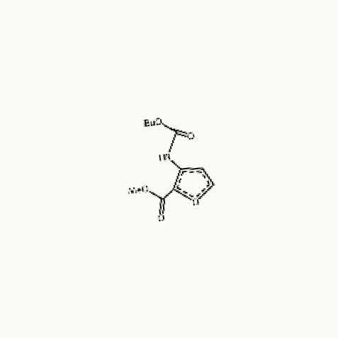 COC(=O)c1occc1NC(=O)OCC(C)C